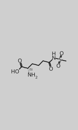 CS(=O)(=O)NC(=O)CCC[C@H](N)C(=O)O